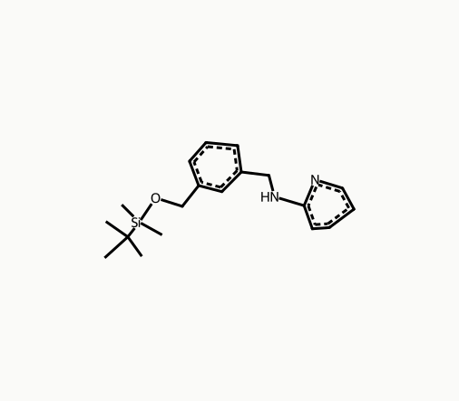 CC(C)(C)[Si](C)(C)OCc1cccc(CNc2ccccn2)c1